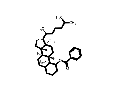 CC(C)CCC[C@@H](C)[C@H]1CC[C@H]2[C@@H]3CCC4CCCC(OC(=O)c5ccccc5)[C@]4(C)[C@H]3CC[C@]12C